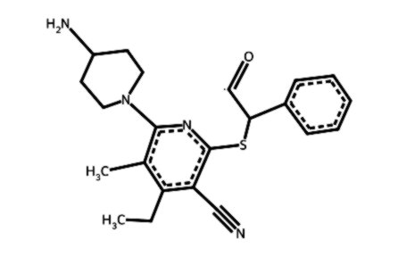 CCc1c(C)c(N2CCC(N)CC2)nc(SC([C]=O)c2ccccc2)c1C#N